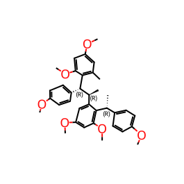 COc1ccc([C@@H](C)c2c(OC)cc(OC)cc2[C@H](C)[C@H](c2ccc(OC)cc2)c2c(C)cc(OC)cc2OC)cc1